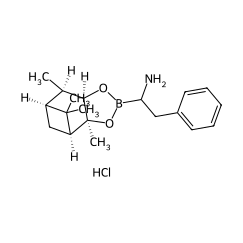 C[C@H]1[C@H]2OB(C(N)Cc3ccccc3)O[C@@]2(C)[C@H]2C[C@@H]1C2(C)C.Cl